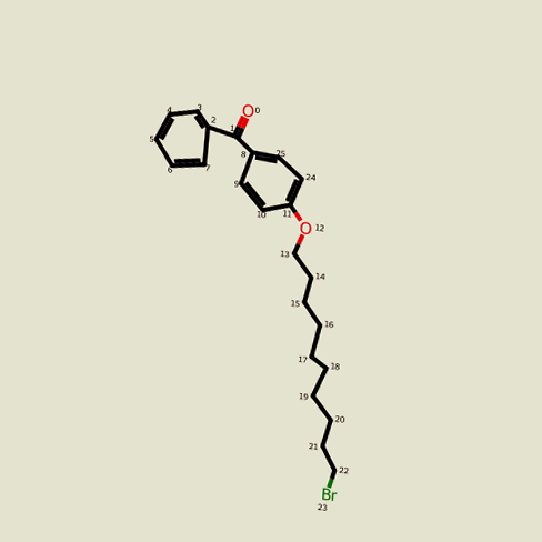 O=C(c1ccccc1)c1ccc(OCCCCCCCCCCBr)cc1